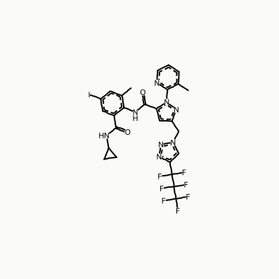 Cc1cccnc1-n1nc(Cn2cc(C(F)(F)C(F)(F)C(F)(F)F)nn2)cc1C(=O)Nc1c(C)cc(I)cc1C(=O)NC1CC1